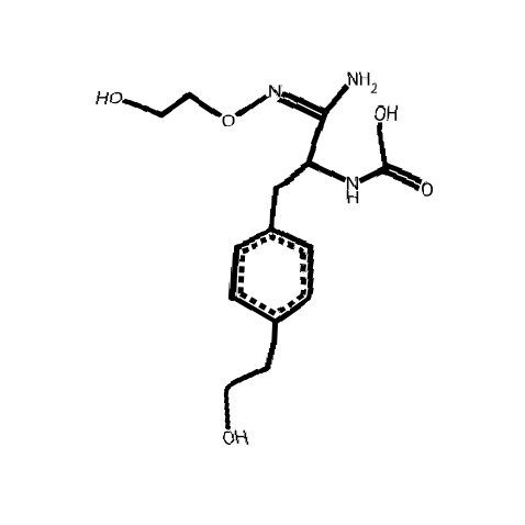 N/C(=N/OCCO)C(Cc1ccc(CCO)cc1)NC(=O)O